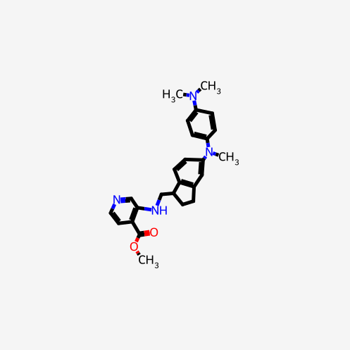 COC(=O)c1ccncc1NCC1CCc2cc(N(C)c3ccc(N(C)C)cc3)ccc21